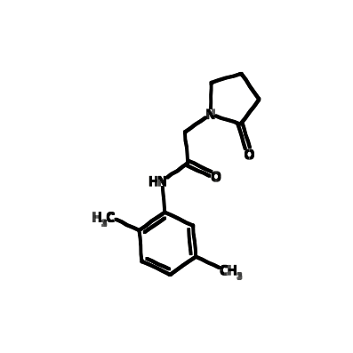 Cc1ccc(C)c(NC(=O)CN2CCCC2=O)c1